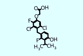 CC(C)c1c(O)ccc(Cc2c(Cl)cc(OCC(=O)O)c(F)c2Cl)c1F